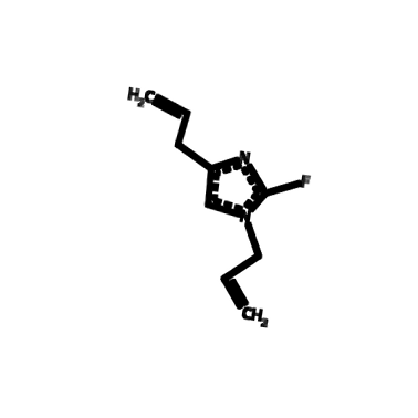 C=CCc1cn(CC=C)c(F)n1